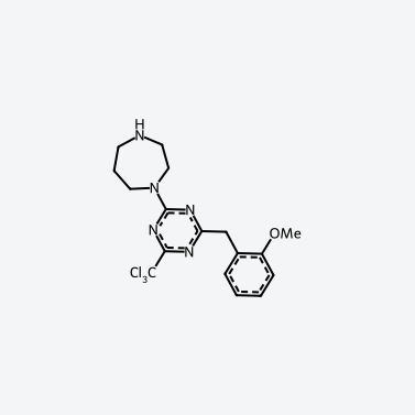 COc1ccccc1Cc1nc(N2CCCNCC2)nc(C(Cl)(Cl)Cl)n1